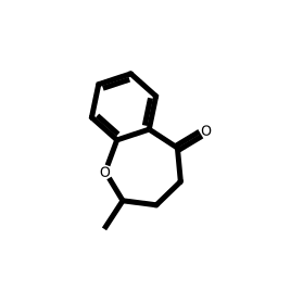 CC1CCC(=O)c2ccccc2O1